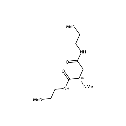 CNCCNC(=O)C[C@H](NC)C(=O)NCCNC